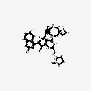 CC#Cc1nc(-c2cc(O)cc3ccc(F)cc23)c(F)c2nc(OC[C@@H]3CCCN3C)nc(N3CCOCC4(CCO4)C3)c12